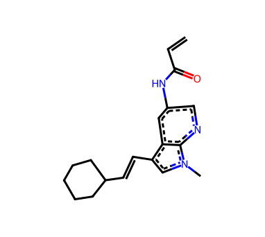 C=CC(=O)Nc1cnc2c(c1)c(/C=C/C1CCCCC1)cn2C